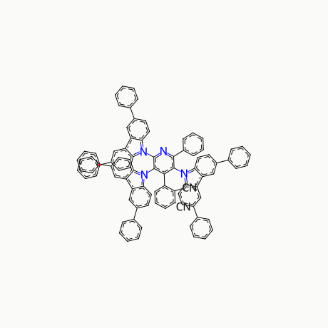 N#Cc1cccc(-c2c(-n3c4ccc(-c5ccccc5)cc4c4cc(-c5ccccc5)ccc43)c(-c3ccccc3)nc(-n3c4ccc(-c5ccccc5)cc4c4cc(-c5ccccc5)ccc43)c2-n2c3ccc(-c4ccccc4)cc3c3cc(-c4ccccc4)ccc32)c1C#N